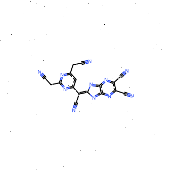 N#CCc1cc(C(C#N)=C2N=c3nc(C#N)c(C#N)nc3=N2)nc(CC#N)n1